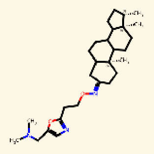 C[C@H]1CCC2C3CCC4CC(=NOCCc5ncc(CN(C)C)o5)CC[C@]4(C)C3CC[C@@]21C